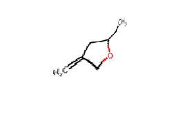 C=C1COC(C)C1